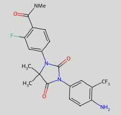 CNC(=O)c1ccc(N2C(=O)N(c3ccc(N)c(C(F)(F)F)c3)C(=O)C2(C)C)cc1F